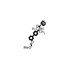 COCCOc1cccc(-c2ccc(C(C)(C)NC(=O)N3CCN4CCC3CC4)cc2)c1